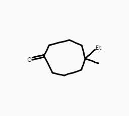 CCC1(C)CCCC(=O)CCC1